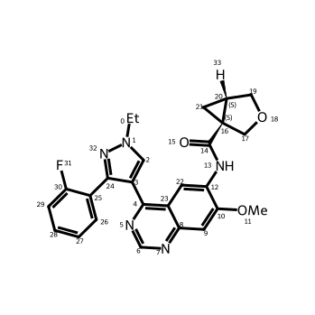 CCn1cc(-c2ncnc3cc(OC)c(NC(=O)[C@]45COC[C@H]4C5)cc23)c(-c2ccccc2F)n1